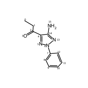 CCC(=O)c1nn(-c2ccccc2)nc1N